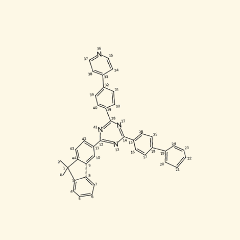 CC1(C)c2ccccc2-c2cc(-c3nc(-c4ccc(-c5ccccc5)cc4)nc(-c4ccc(-c5ccncc5)cc4)n3)ccc21